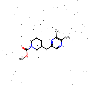 Cc1ncc(CC2CCCN(C(=O)OC(C)(C)C)C2)nc1C